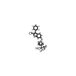 CCC(O)(c1cn(Cc2ccc3c(-c4ccccc4)c(Cl)sc3c2)nn1)C(F)(F)F